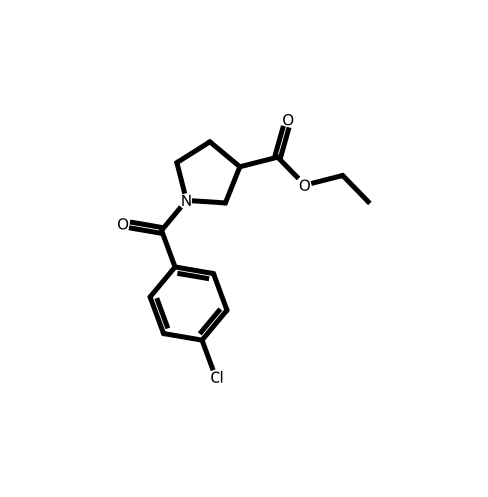 CCOC(=O)C1CCN(C(=O)c2ccc(Cl)cc2)C1